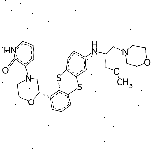 COCC(CN1CCOCC1)Nc1ccc2c(c1)Sc1cccc([C@H]3CN(c4ccc[nH]c4=O)CCO3)c1S2